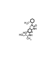 Cc1ccccc1N1Cc2cnc(NC(C)C(O)CO)nc2NC1=O